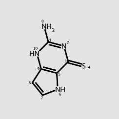 Nc1nc(=S)c2[nH]ccc2[nH]1